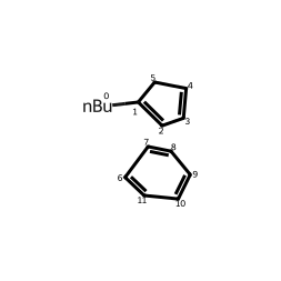 CCCCC1=CC=CC1.c1ccccc1